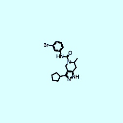 CC1Cc2[nH]nc(C3CCCC3)c2CN1C(=O)Nc1cccc(Br)c1